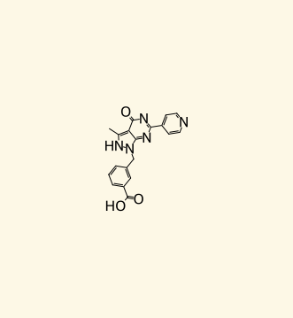 Cc1[nH]n(Cc2cccc(C(=O)O)c2)c2nc(-c3ccncc3)nc(=O)c1-2